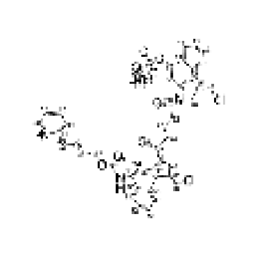 CC(C)(C)OP(=O)(Oc1cc2c(c3ccccc13)[C@H](CCl)CN2C(=O)CCCC(=O)N1C[C@@H](CCl)c2c1cc(NC(=O)OCCSSc1ccccn1)c1ccccc21)OC(C)(C)C